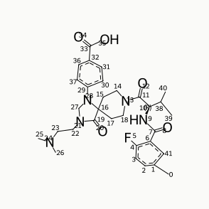 Cc1ccc(F)c(C(=O)N[C@@H](C(=O)N2CCC3(CC2)C(=O)N(CCN(C)C)CN3c2ccc(C(=O)O)cc2)C(C)C)c1